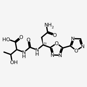 CC(O)C(NC(=O)N[C@@H](CC(N)=O)c1nnc(-c2ncno2)o1)C(=O)O